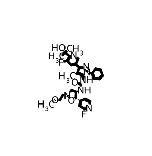 COCCN1C[C@@H](NC(=O)Nc2c(C)c(-c3cnc(C(C)(C)O)c(F)c3)nn2-c2ccccc2)[C@H](c2ccnc(F)c2)O1